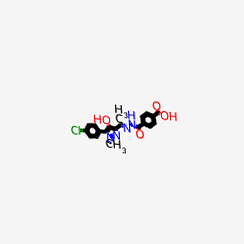 C/C(=N\NC(=O)c1ccc(C(=O)O)cc1)c1nn(C)c(-c2ccc(Cl)cc2)c1O